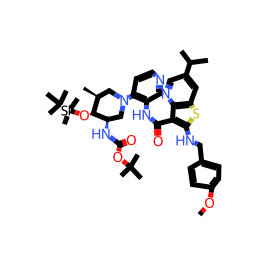 COc1ccc(CNc2sc3cc(C(C)C)cnc3c2C(=O)Nc2cnccc2N2C[C@H](C)[C@@H](O[Si](C)(C)C(C)(C)C)[C@H](NC(=O)OC(C)(C)C)C2)cc1